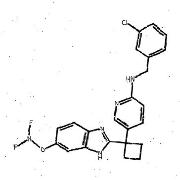 FN(F)Oc1ccc2nc(C3(c4ccc(NCc5cccc(Cl)c5)nc4)CCC3)[nH]c2c1